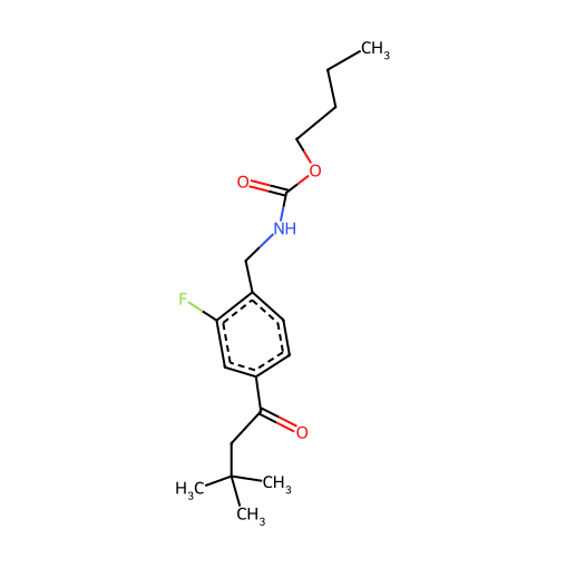 CCCCOC(=O)NCc1ccc(C(=O)CC(C)(C)C)cc1F